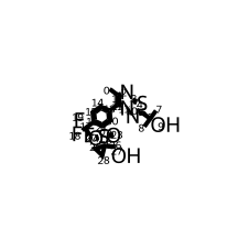 Cc1nc2sc(C(C)(C)O)nn2c1-c1ccc(C(F)(F)F)c(S(=O)(=O)C2(CO)CC2)c1